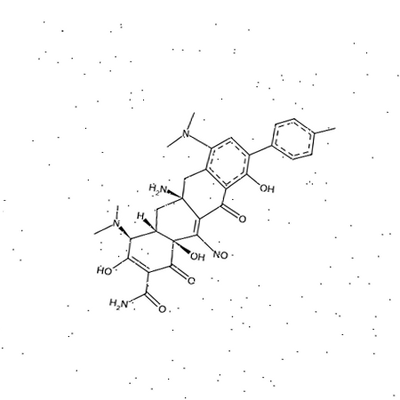 Cc1ccc(-c2cc(N(C)C)c3c(c2O)C(=O)C2=C(N=O)[C@]4(O)C(=O)C(C(N)=O)=C(O)[C@@H](N(C)C)[C@@H]4C[C@]2(N)C3)cc1